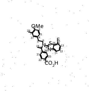 COc1ccc(CCN(c2nc3cccc(F)c3s2)C(C)c2ccc(C(=O)O)cc2)cc1C